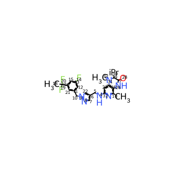 Cc1nc(NCc2cnn(Cc3cc(F)cc(C(C)(F)F)c3)c2)cc2c1NC(=O)C(C(C)C)N2C